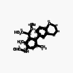 Cc1cc(NC=O)c(C)c(C(OC(C)(C)C)C(=O)O)c1-c1ccc2c(c1)CCCO2